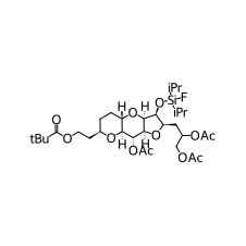 CC(=O)OCC(C[C@H]1O[C@@H]2[C@@H](O[C@H]3CC[C@H](CCOC(=O)C(C)(C)C)O[C@@H]3[C@H]2OC(C)=O)[C@H]1O[Si](F)(C(C)C)C(C)C)OC(C)=O